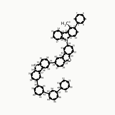 Cc1c(-c2ccccc2)ccc2c1c1ccccc1n2-c1ccc2oc3ccc(-c4ccc5sc6ccc(-c7cccc(-c8cccc(-c9ccccc9)c8)c7)cc6c5c4)cc3c2c1